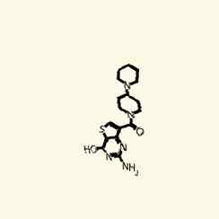 Nc1nc(O)c2scc(C(=O)N3CCC(N4CCCCC4)CC3)c2n1